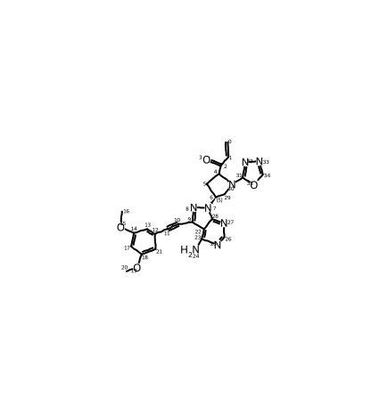 C=CC(=O)C1C[C@H](n2nc(C#Cc3cc(OC)cc(OC)c3)c3c(N)ncnc32)CN1c1nnco1